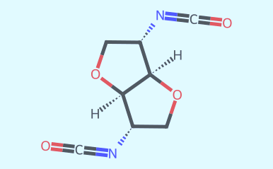 O=C=N[C@H]1CO[C@H]2[C@@H]1OC[C@@H]2N=C=O